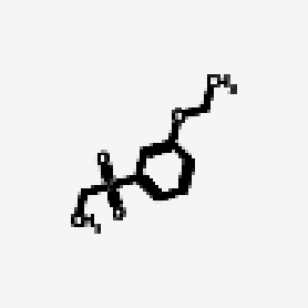 CCOc1cccc(S(=O)(=O)CC)c1